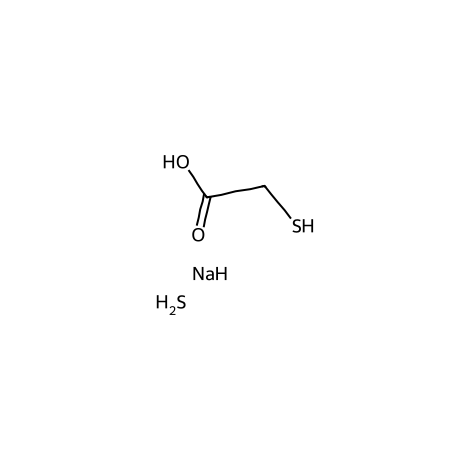 O=C(O)CS.S.[NaH]